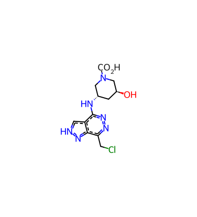 O=C(O)N1C[C@@H](O)C[C@H](Nc2nnc(CCl)c3n[nH]cc23)C1